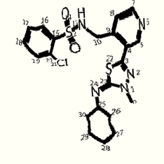 Cn1nc(-c2cnccc2CNS(=O)(=O)c2ccccc2Cl)sc1=NC1CCCCC1